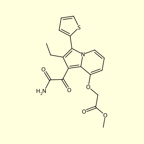 CCc1c(C(=O)C(N)=O)c2c(OCC(=O)OC)cccn2c1-c1cccs1